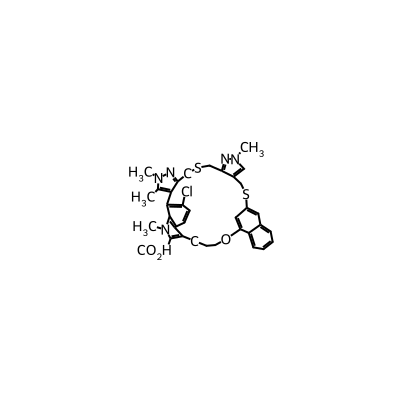 Cc1c2c(nn1C)CSCc1nn(C)cc1CSc1cc(c3ccccc3c1)OCCCc1c(C(=O)O)n(C)c3c-2c(Cl)ccc13